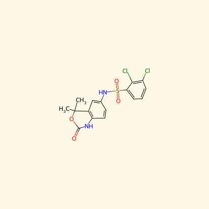 CC1(C)OC(=O)Nc2ccc(NS(=O)(=O)c3cccc(Cl)c3Cl)cc21